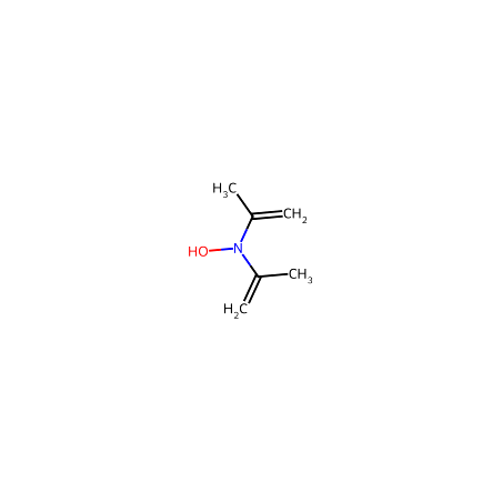 C=C(C)N(O)C(=C)C